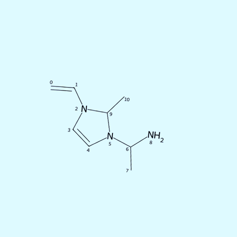 C=CN1C=CN(C(C)N)C1C